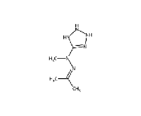 CC(C)=NN(C)C1=NNNN1